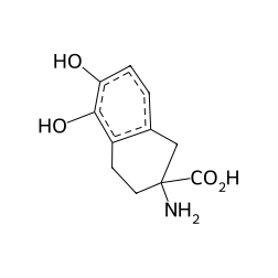 NC1(C(=O)O)CCc2c(ccc(O)c2O)C1